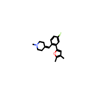 Cc1cc(-c2cc(F)ccc2C=C2CCN(C)CC2)oc1C